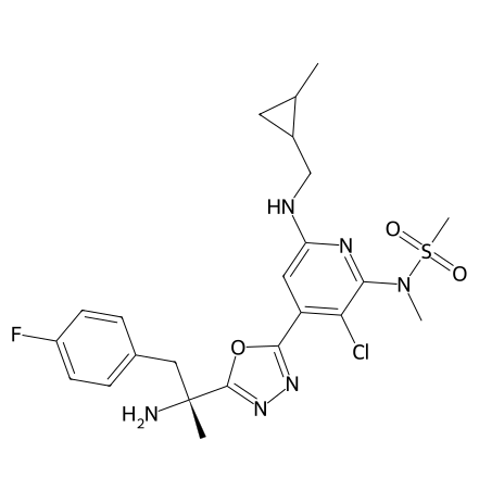 CC1CC1CNc1cc(-c2nnc([C@](C)(N)Cc3ccc(F)cc3)o2)c(Cl)c(N(C)S(C)(=O)=O)n1